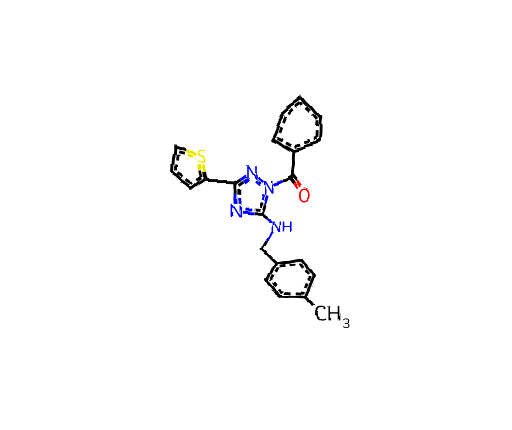 Cc1ccc(CNc2nc(-c3cccs3)nn2C(=O)c2ccccc2)cc1